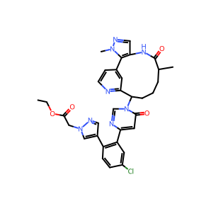 CCOC(=O)Cn1cc(-c2ccc(Cl)cc2-c2cc(=O)n(C3CCCC(C)C(=O)Nc4cnn(C)c4-c4ccnc3c4)cn2)cn1